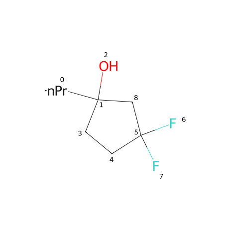 CC[CH]C1(O)CCC(F)(F)C1